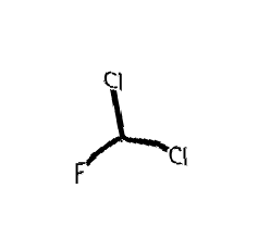 F[C](Cl)Cl